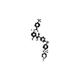 [C-]#[N+]c1ccc(C(=O)Nc2ccc(Cl)c(C(=O)Nc3cnc(Nc4ccc(S(=O)(=O)C5CCNCC5)cc4)nc3)c2)cc1